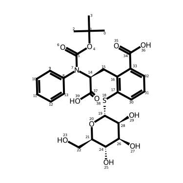 CC(C)(C)OC(=O)N(c1ccccc1)[C@@H](Cc1c(S[C@H]2O[C@H](CO)[C@@H](O)[C@H](O)[C@@H]2O)cccc1C(=O)O)C(=O)O